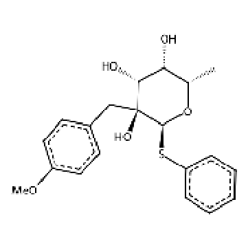 COc1ccc(C[C@]2(O)[C@H](O)[C@H](O)[C@H](C)O[C@H]2Sc2ccccc2)cc1